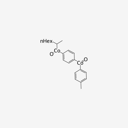 CCCCCC[CH](C)[Co](=[O])[c]1cc[c]([Co](=[O])[c]2ccc(C)cc2)cc1